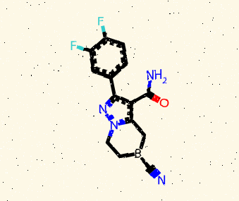 N#CB1CCn2nc(-c3ccc(F)c(F)c3)c(C(N)=O)c2C1